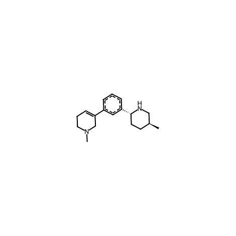 C[C@H]1CC[C@H](c2cccc(C3=CCCN(C)C3)c2)NC1